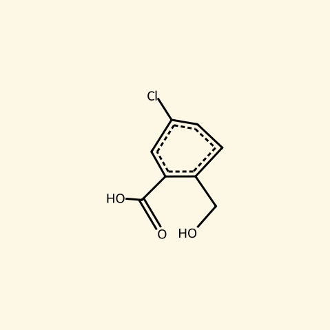 O=C(O)c1cc(Cl)ccc1CO